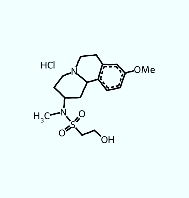 COc1ccc2c(c1)CCN1CCC(N(C)S(=O)(=O)CCO)CC21.Cl